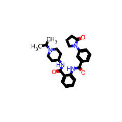 CC(C)N1CCC(NC(=O)c2ccccc2NC(=O)c2cccc(N3CCCC3=O)c2)CC1